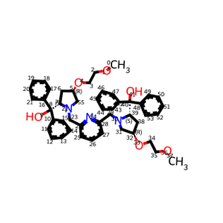 COCCO[C@@H]1C[C@@H](C(O)(c2ccccc2)c2ccccc2)N(Cc2cccc(CN3C[C@H](OCCOC)C[C@H]3C(O)(c3ccccc3)c3ccccc3)n2)C1